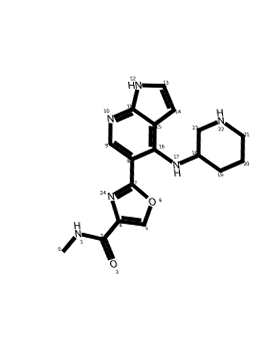 CNC(=O)c1coc(-c2cnc3[nH]ccc3c2NC2CCCNC2)n1